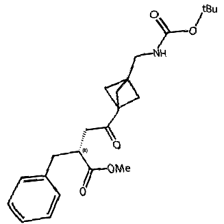 COC(=O)[C@@H](CC(=O)C12CC(CNC(=O)OC(C)(C)C)(C1)C2)Cc1ccccc1